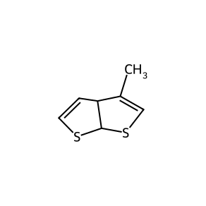 CC1=CSC2SC=CC12